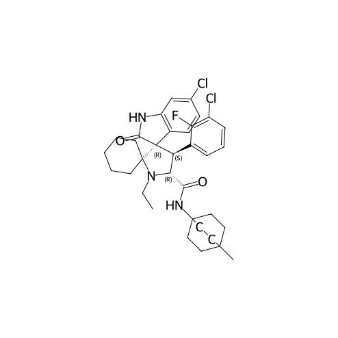 CCN1[C@@H](C(=O)NC23CCC(C)(CC2)CC3)[C@H](c2cccc(Cl)c2F)[C@]2(C(=O)Nc3cc(Cl)ccc32)C12CCCCC2